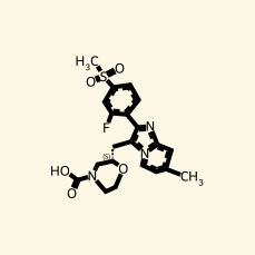 Cc1ccn2c(C[C@H]3CN(C(=O)O)CCO3)c(-c3ccc(S(C)(=O)=O)cc3F)nc2c1